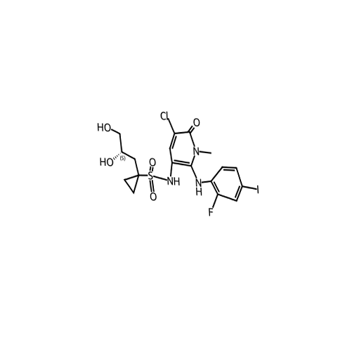 Cn1c(Nc2ccc(I)cc2F)c(NS(=O)(=O)C2(C[C@H](O)CO)CC2)cc(Cl)c1=O